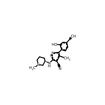 C#Cc1ccc(-c2nnc(N[C@@H]3CCCN(C)C3)c(C#N)c2C)c(O)c1